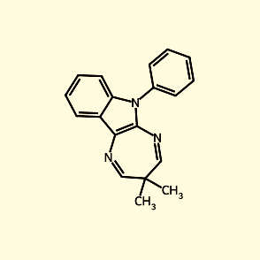 CC1(C)C=Nc2c(n(-c3ccccc3)c3ccccc23)N=C1